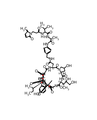 C=C1C=CC(=O)N1CCC(=O)NC(C(=O)N[C@@H](C)C(=O)Nc1ccc(CNC(=O)C[C@@H]2NC(=O)C3C[S@@+]([O-])c4[nH]c5cc(O)ccc5c4CC(NC(=O)[C@H]([C@@H](C)[C@@H](O)CO)NC(=O)[C@@H]4CC(O)CN4C2=O)C(=O)NCC(=O)N[C@@H](C(C)CC)C(=O)NCC(=O)N3)cc1)C(C)C